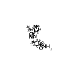 NS(=O)(=O)N1CCC2(CC1)C[C@H]2c1noc(-c2ccnnc2C2CC2)n1